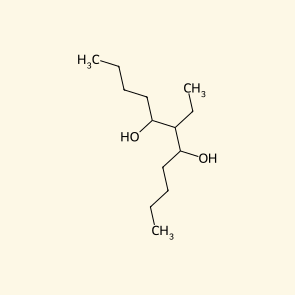 CCCCC(O)C(CC)C(O)CCCC